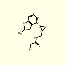 CCC(=O)NC[C@@H]1C[C@H]1c1cccc2c1CC(C)O2